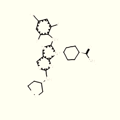 NC(=O)[C@H]1CC[C@H](n2c(Nc3c(F)cc(Cl)cc3F)nc3cnc(N[C@@H]4CCCOC4)nc32)CC1